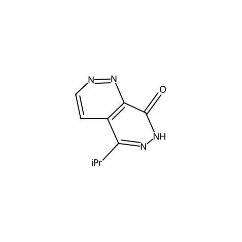 CC(C)c1n[nH]c(=O)c2nnccc12